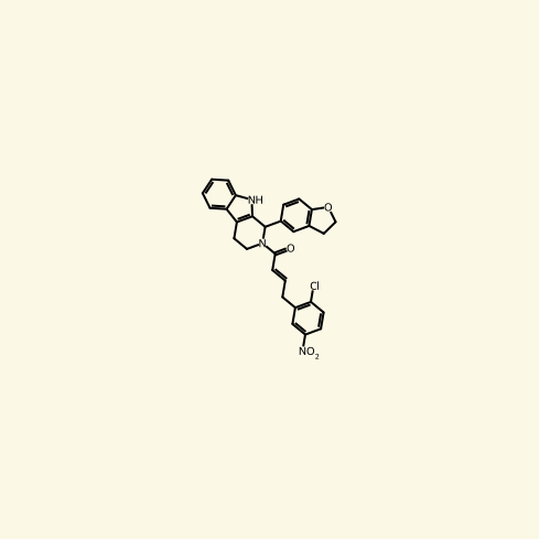 O=C(/C=C/Cc1cc([N+](=O)[O-])ccc1Cl)N1CCc2c([nH]c3ccccc23)C1c1ccc2c(c1)CCO2